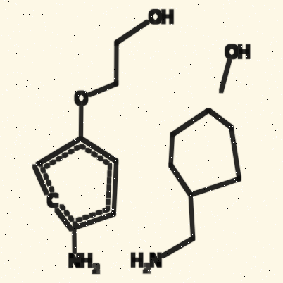 CO.NCC1CCCCC1.Nc1ccc(OCCO)cc1